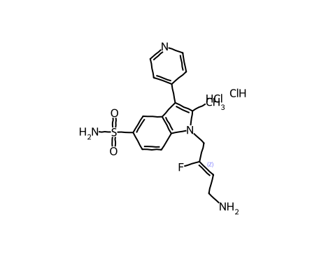 Cc1c(-c2ccncc2)c2cc(S(N)(=O)=O)ccc2n1C/C(F)=C/CN.Cl.Cl